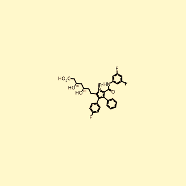 CC(C)n1c(CC[C@@H](O)C[C@@H](O)CC(=O)O)c(-c2ccc(F)cc2)c(-c2ccccc2)c1C(=O)Nc1cc(F)cc(F)c1